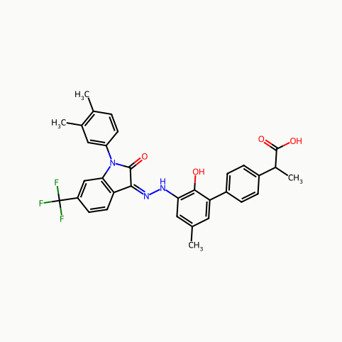 Cc1cc(NN=C2C(=O)N(c3ccc(C)c(C)c3)c3cc(C(F)(F)F)ccc32)c(O)c(-c2ccc(C(C)C(=O)O)cc2)c1